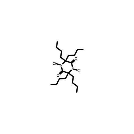 CCCCC1(CCCC)C(=O)N(Cl)C(CCCC)(CCCC)C(=O)N1Cl